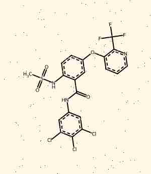 CS(=O)(=O)Nc1ccc(Oc2cccnc2C(F)(F)F)cc1C(=O)Nc1cc(Cl)c(Cl)c(Cl)c1